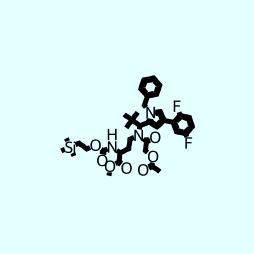 COC(=O)C(CCN(C(=O)COC(C)=O)C(c1cc(-c2cc(F)ccc2F)cn1Cc1ccccc1)C(C)(C)C)NC(=O)OCC[Si](C)(C)C